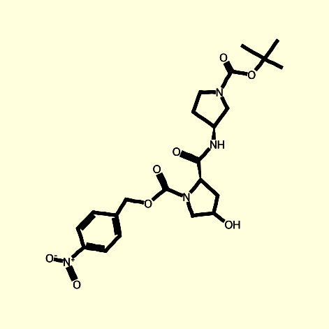 CC(C)(C)OC(=O)N1CC[C@H](NC(=O)[C@H]2CC(O)CN2C(=O)OCc2ccc([N+](=O)[O-])cc2)C1